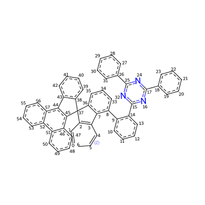 C=CC1=C(/C=C\C)c2c(-c3ccccc3-c3nc(-c4ccccc4)nc(-c4ccccc4)n3)cccc2C12c1ccccc1-c1c2c2ccccc2c2ccccc12